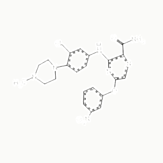 CN1CCN(c2ccc(Nc3nc(Oc4cccc([N+](=O)[O-])c4)cnc3C(N)=O)cc2Cl)CC1